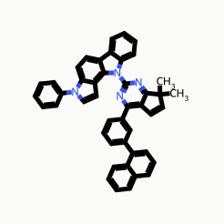 CC1(C)C=Cc2c(-c3cccc(-c4cccc5ccccc45)c3)nc(-n3c4ccccc4c4ccc5c(ccn5-c5ccccc5)c43)nc21